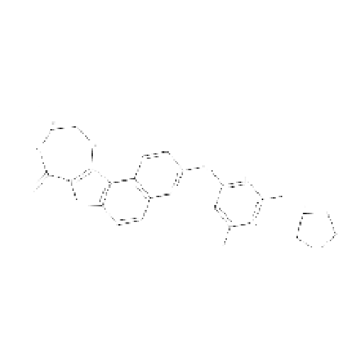 C[C@@H]1CNc2c(oc3ccc4nc(Oc5cc(Cl)nc(O[C@@H]6CCOC6)n5)ccc4c23)C(=O)N1